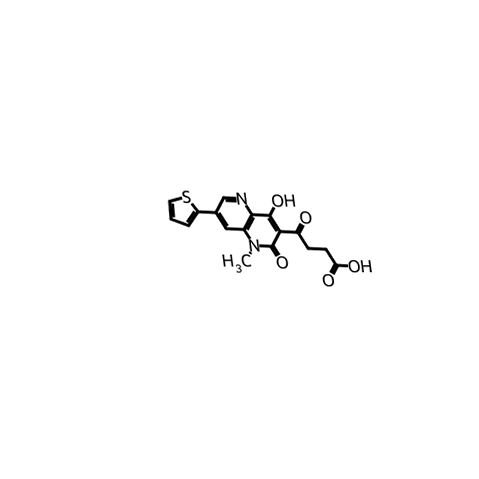 Cn1c(=O)c(C(=O)CCC(=O)O)c(O)c2ncc(-c3cccs3)cc21